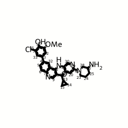 COc1cc(-c2ccc3ncc(C(=O)C4CC4)c(Nc4ccc(N5CCCC(N)C5)nc4)c3c2)cc(Cl)c1O